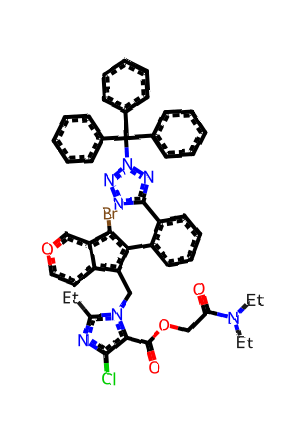 CCc1nc(Cl)c(C(=O)OCC(=O)N(CC)CC)n1Cc1c2ccocc-2c(Br)c1-c1ccccc1-c1nnn(C(c2ccccc2)(c2ccccc2)c2ccccc2)n1